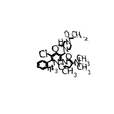 C=CC(=O)N1CCN2C(=O)c3c(N4C[C@@H](N(C)C)CC4(C)C)nc(-c4ccccc4F)c(Cl)c3OC[C@H]2C1